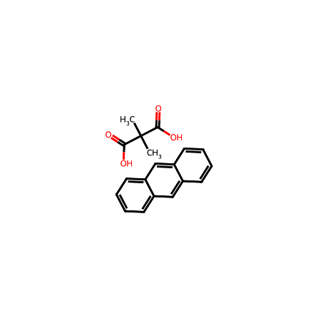 CC(C)(C(=O)O)C(=O)O.c1ccc2cc3ccccc3cc2c1